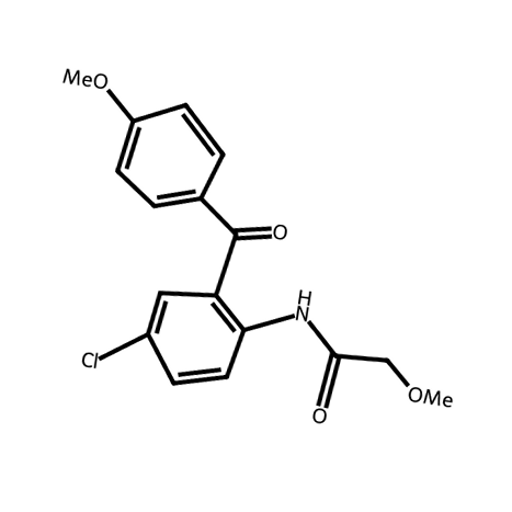 COCC(=O)Nc1ccc(Cl)cc1C(=O)c1ccc(OC)cc1